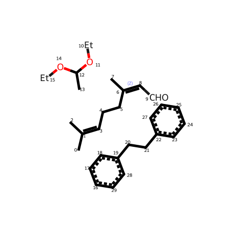 CC(C)=CCC/C(C)=C\C=O.CCOC(C)OCC.c1ccc(CCc2ccccc2)cc1